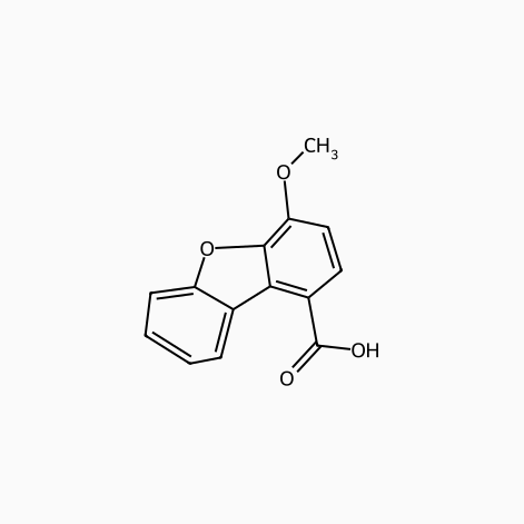 COc1ccc(C(=O)O)c2c1oc1ccccc12